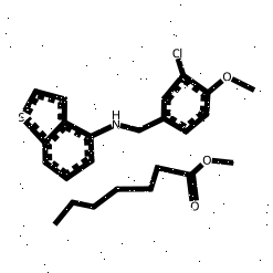 CCCCCCC(=O)OC.COc1ccc(CNc2cccc3sccc23)cc1Cl